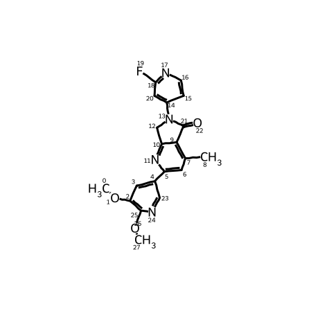 COc1cc(-c2cc(C)c3c(n2)CN(c2ccnc(F)c2)C3=O)cnc1OC